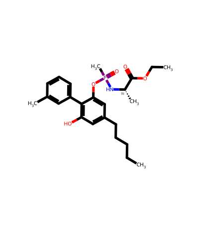 CCCCCc1cc(O)c(-c2cccc(C)c2)c(OP(C)(=O)N[C@@H](C)C(=O)OCC)c1